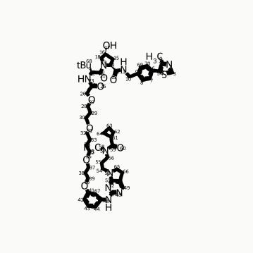 Cc1ncsc1-c1ccc(CNC(=O)[C@@H]2C[C@@H](O)CN2C(=O)[C@@H](NC(=O)COCCCOCCCCOCCCOc2cccc(Nc3ncc4c(n3)N(CCCN(C)C(=O)C3CCC3)CC4)c2)C(C)(C)C)cc1